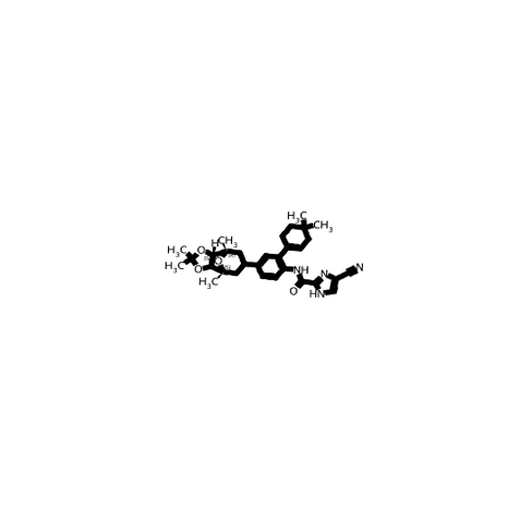 CC1(C)CC=C(c2cc(C3C[C@@]4(C)O[C@@](C)(C3)C3OC(C)(C)O[C@@H]34)ccc2NC(=O)c2nc(C#N)c[nH]2)CC1